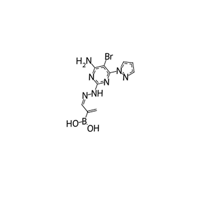 C=C(/C=N\Nc1nc(N)c(Br)c(-n2cccn2)n1)B(O)O